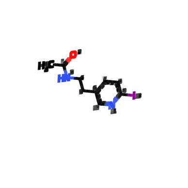 CC(=O)NCCc1ccc(I)nc1